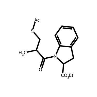 CCOC(=O)C1Cc2ccccc2N1C(=O)C(C)CSC(C)=O